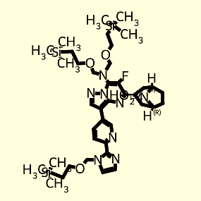 C[Si](C)(C)CCOCN(COCC[Si](C)(C)C)c1c(F)c([C@@H]2C[C@H]3CC[C@@H](C2)N3C(=O)O)nc2c(-c3ccc(-c4nccn4COCC[Si](C)(C)C)nc3)cnn12